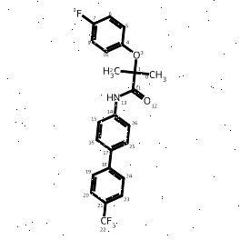 CC(C)(Oc1ccc(F)cc1)C(=O)Nc1ccc(-c2ccc(C(F)(F)F)cc2)cc1